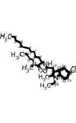 CCCCCCCCCCC(NC(=O)Cc1c(C)n(CC)c2ccc(Cl)cc12)C(=O)N(C)CCCC